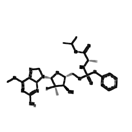 COC1=NC(N)=NC2C1=NCN2[C@@H]1O[C@H](COP(=O)(N[C@@H](C)C(=O)OC(C)C)Oc2ccccc2)[C@@H](O)[C@@]1(C)F